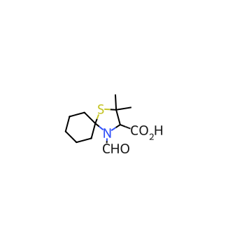 CC1(C)SC2(CCCCC2)N(C=O)C1C(=O)O